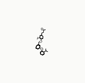 CC(=O)CCc1ccc(OCc2cccc(Oc3ccccc3C(C)C)c2)c(F)c1